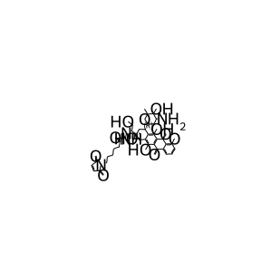 COc1cccc2c1C(=O)c1c(O)c3c(c(O)c1C2=O)C[C@@](O)(C(CO)N(C)NC(=O)CCCCCN1C(=O)C=CC1=O)CC3[C@H]1CC(N)C(O)C(C)O1